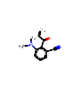 C=CC(=O)c1c(C#N)cccc1N(C)C